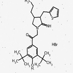 Br.CCCC1CN(CC(=O)c2cc(C(C)(C)C)c(O)c(C(C)(C)C)c2)C(=N)C1Cc1cccs1